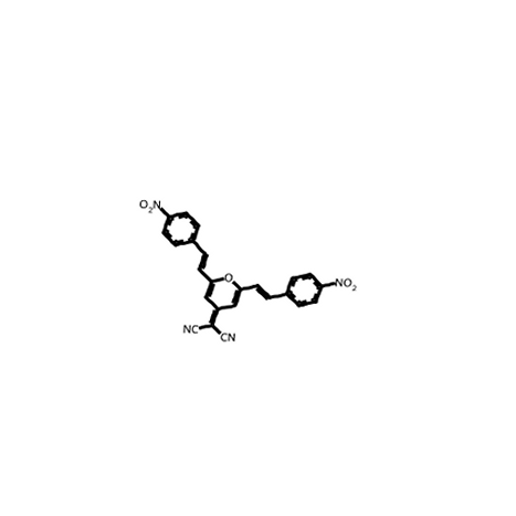 N#CC(C#N)=C1C=C(/C=C/c2ccc([N+](=O)[O-])cc2)OC(/C=C/c2ccc([N+](=O)[O-])cc2)=C1